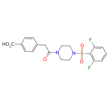 O=C(O)c1ccc(CC(=O)N2CCN(S(=O)(=O)c3c(F)cccc3F)CC2)cc1